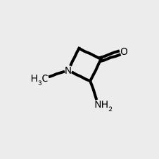 CN1CC(=O)C1N